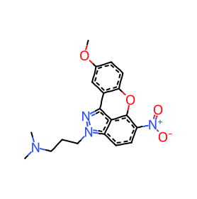 COc1ccc2c(c1)-c1nn(CCCN(C)C)c3ccc([N+](=O)[O-])c(c13)O2